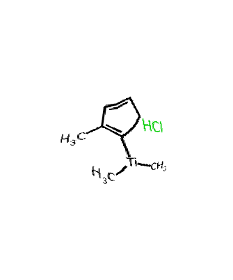 CC1=[C]([Ti]([CH3])[CH3])CC=C1.Cl